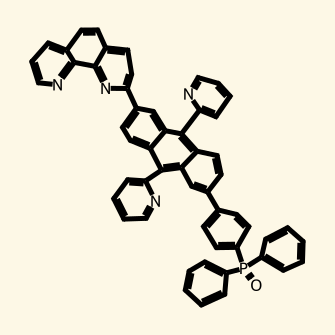 O=P(c1ccccc1)(c1ccccc1)c1ccc(-c2ccc3c(-c4ccccn4)c4cc(-c5ccc6ccc7cccnc7c6n5)ccc4c(-c4ccccn4)c3c2)cc1